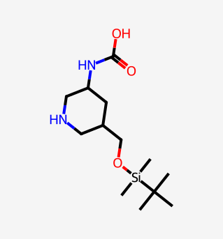 CC(C)(C)[Si](C)(C)OCC1CNCC(NC(=O)O)C1